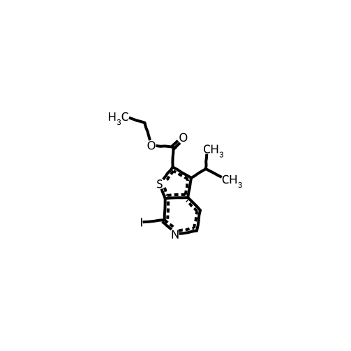 CCOC(=O)c1sc2c(I)nccc2c1C(C)C